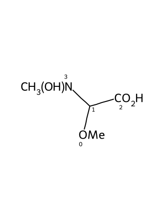 COC(C(=O)O)N(C)O